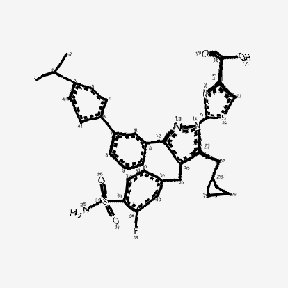 CC(C)c1ccc(-c2cccc(-c3nn(-c4nc(C(=O)O)cs4)c(CC4CC4)c3Cc3ccc(S(N)(=O)=O)c(F)c3)c2)cc1